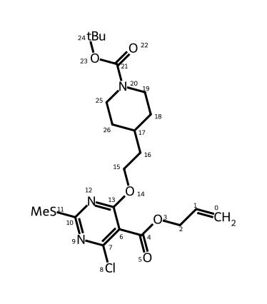 C=CCOC(=O)c1c(Cl)nc(SC)nc1OCCC1CCN(C(=O)OC(C)(C)C)CC1